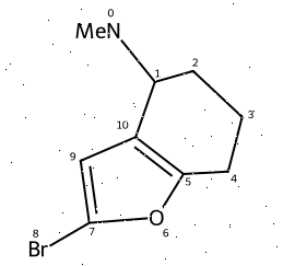 CNC1CCCc2oc(Br)cc21